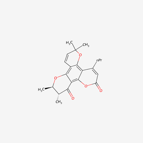 CCCc1cc(=O)oc2c3c(c4c(c12)OC(C)(C)C=C4)O[C@H](C)[C@@H](C)C3=O